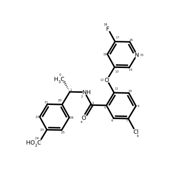 C[C@H](NC(=O)c1cc(Cl)ccc1Oc1cncc(F)c1)c1ccc(C(=O)O)cc1